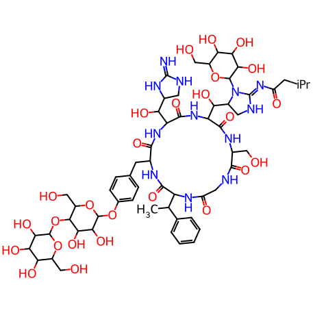 CC(C)CC(=O)/N=C1\NCC(C(O)C2NC(=O)C(C(O)C3CNC(=N)N3)NC(=O)C(Cc3ccc(OC4OC(CO)C(OC5OC(CO)C(O)C(O)C5O)C(O)C4O)cc3)NC(=O)C(C(C)c3ccccc3)NC(=O)CNC(=O)C(CO)NC2=O)N1C1OC(CO)C(O)C(O)C1O